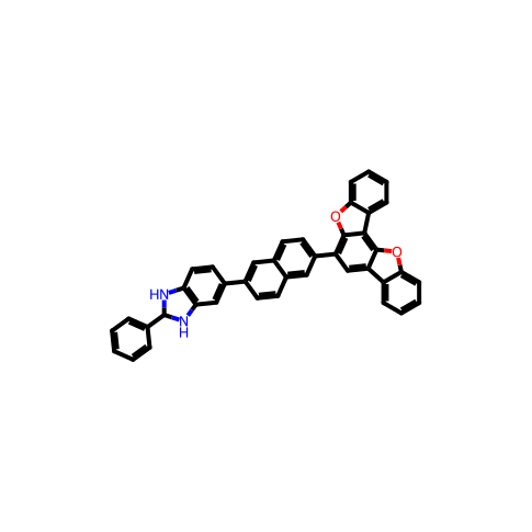 c1ccc(C2Nc3ccc(-c4ccc5cc(-c6cc7c8ccccc8oc7c7c6oc6ccccc67)ccc5c4)cc3N2)cc1